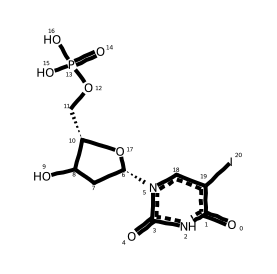 O=c1[nH]c(=O)n([C@@H]2CC(O)[C@H](COP(=O)(O)O)O2)cc1I